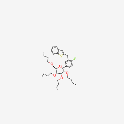 CCCCOC[C@H]1O[C@@H](c2ccc(F)c(Cc3cc4ccccc4s3)c2)[C@H](OCCCC)[C@@H](OCCCC)[C@@H]1OCCCC